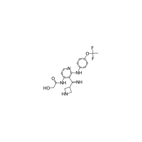 CC(F)(F)Oc1ccc(Nc2nccc(NC(=O)CO)c2C(=N)C2CNC2)cc1